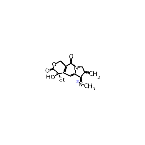 C=C1Cn2c(cc3c(c2=O)COC(=O)[C@]3(O)CC)/C1=N/C